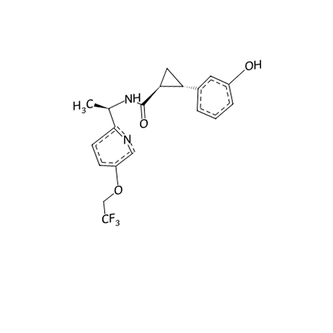 C[C@@H](NC(=O)[C@H]1C[C@@H]1c1cccc(O)c1)c1ccc(OCC(F)(F)F)cn1